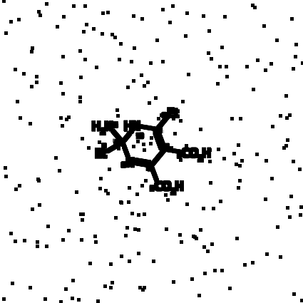 CCC1=C(C(=O)O)C(C(=O)O)=NC(N)(CC)N1